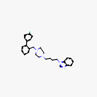 Fc1ccc(-c2ccccc2CN2CCN(CCCCn3cnc4ccccc43)CC2)cc1